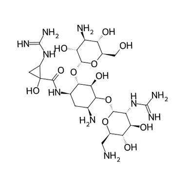 N=C(N)NC1CC1(O)C(=O)N[C@@H]1C[C@H](N)C(O[C@H]2O[C@H](CN)[C@@H](O)[C@H](O)[C@H]2NC(=N)N)[C@H](O)[C@H]1O[C@H]1O[C@H](CO)[C@@H](O)[C@H](N)[C@H]1O